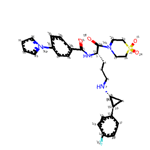 O=C(N[C@@H](CCCN[C@@H]1C[C@H]1c1ccc(F)cc1)C(=O)N1CCS(=O)(=O)CC1)c1ccc(-n2cccc2)cc1